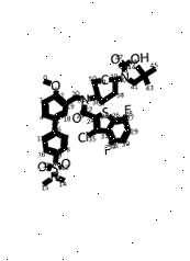 COc1ccc(-c2ccc(S(=O)(=O)N(C)C)cc2)cc1CN(C(=O)c1sc2c(F)ccc(F)c2c1Cl)C1CCC(N(CC(C)(C)C)C(=O)O)CC1